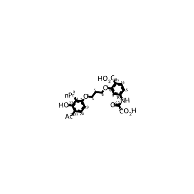 CCCc1c(OCCCOc2cc(NC(=O)C(=O)O)ccc2C(=O)O)ccc(C(C)=O)c1O